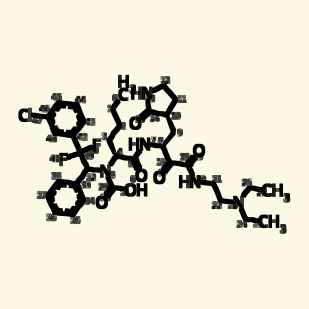 CCCC[C@@H](C(=O)N[C@@H](C[C@@H]1CCNC1=O)C(=O)C(=O)NCCN(CC)CC)N(C(=O)O)C(c1ccccc1)C(F)(F)c1cccc(Cl)c1